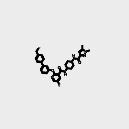 [CH2]Cc1ccc(-c2cccc(Oc3ncc(F)cc3C(=O)NC3CCC(NC(=O)c4cc(C)n(C)n4)CC3)c2)cc1